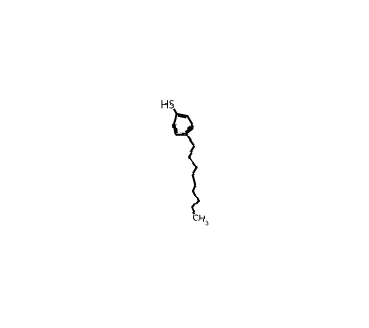 CCCCCCCCCc1ccc(S)cc1